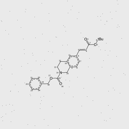 CC(C)(C)OC(=O)/C=C/c1ccc2c(c1)CCN(C(=O)OCc1ccccc1)C2